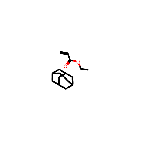 C1C2CC3CC1CC(C2)C3.C=CC(=O)OCC